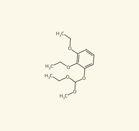 CCOc1[c]ccc(OC(OC)OCC)c1OCC